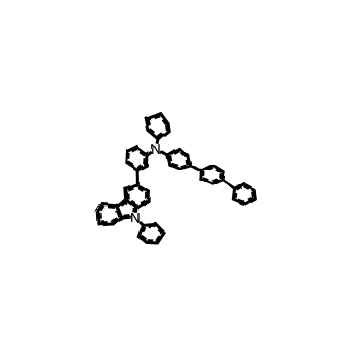 c1ccc(-c2ccc(-c3ccc(N(c4ccccc4)c4cccc(-c5ccc6c(c5)c5ccccc5n6-c5ccccc5)c4)cc3)cc2)cc1